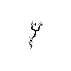 [N-]=[N+]=NCC(CO)CO